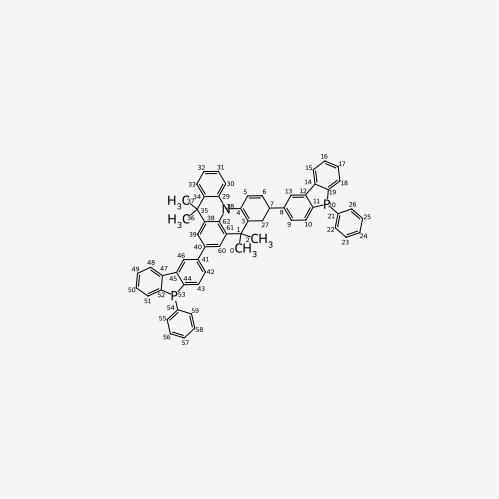 CC1(C)C2=C(C=CC(c3ccc4c(c3)c3ccccc3p4-c3ccccc3)C2)N2c3ccccc3C(C)(C)c3cc(-c4ccc5c(c4)c4ccccc4p5-c4ccccc4)cc1c32